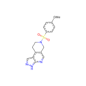 COc1ccc(S(=O)(=O)N2CCc3c(cnc4[nH]ncc34)C2)cc1